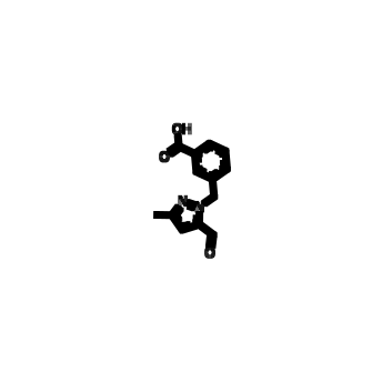 Cc1cc(C=O)n(Cc2cccc(C(=O)O)c2)n1